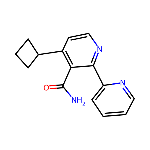 NC(=O)c1c(C2CCC2)ccnc1-c1ccccn1